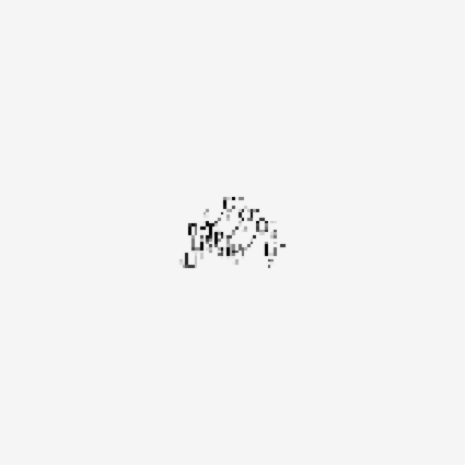 CCC[O-].CCC[O-].CCC[O-].[Li+].[Li+].[Li+]